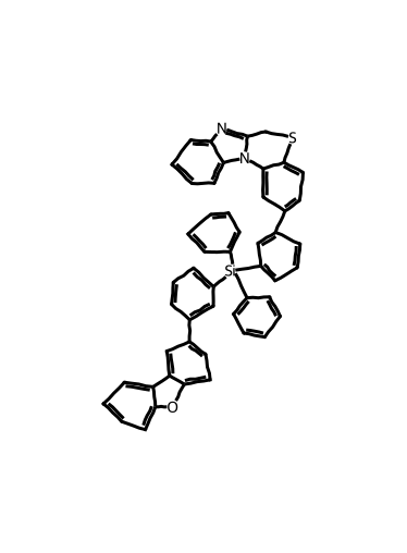 c1ccc([Si](c2ccccc2)(c2cccc(-c3ccc4c(c3)-n3c(nc5ccccc53)CS4)c2)c2cccc(-c3ccc4oc5ccccc5c4c3)c2)cc1